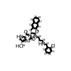 CC(C)(C)C(=O)N(C(=O)[C@@H]1CCCN1)[C@H](Cc1ccc2ccccc2c1)C(=O)NCCCNCc1ccccc1Cl.Cl